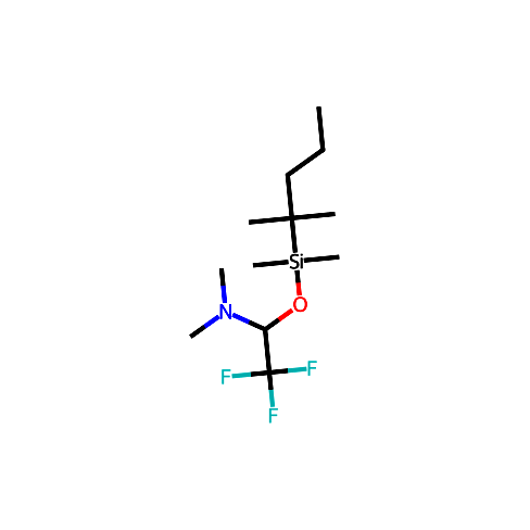 CCCC(C)(C)[Si](C)(C)OC(N(C)C)C(F)(F)F